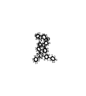 c1ccc(-c2ccc(-c3nc(-c4ccccc4)nc(-c4ccccc4-c4ccccc4-n4c5ccc6oc7ccc8c9ccccc9n9c%10cccc4c%10c5c6c7c89)n3)cc2)cc1